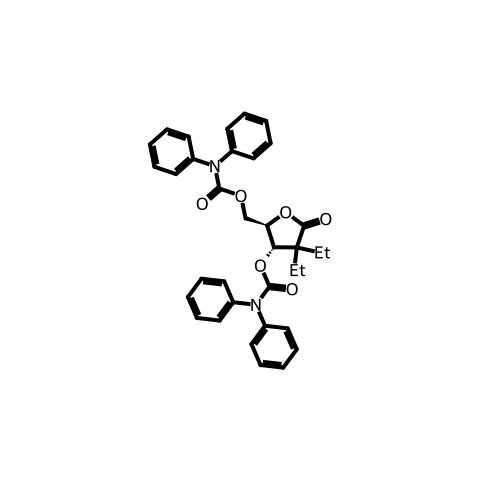 CCC1(CC)C(=O)O[C@H](COC(=O)N(c2ccccc2)c2ccccc2)[C@H]1OC(=O)N(c1ccccc1)c1ccccc1